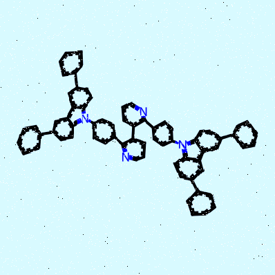 c1ccc(-c2ccc3c(c2)c2cc(-c4ccccc4)ccc2n3-c2ccc(-c3ncccc3-c3cccnc3-c3ccc(-n4c5ccc(-c6ccccc6)cc5c5cc(-c6ccccc6)ccc54)cc3)cc2)cc1